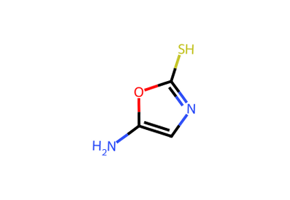 Nc1cnc(S)o1